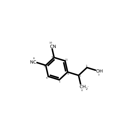 [CH2]C(CO)c1ccc(C#N)c(C#N)c1